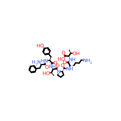 C[C@@H](O)[C@H](NC(=O)[C@H](CCCCN)NC(=O)[C@@H]1CCCN1C(=O)[C@@H](NC(=O)[C@H](Cc1ccc(O)cc1)NC(=O)[C@@H](N)Cc1ccccc1)[C@@H](C)O)C(=O)O